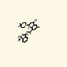 Cc1cc([C@@H](C)NC2=NS(=O)(=O)c3ccccc32)c2oc(N3CCC(C)(C)CC3)cc(=O)c2c1